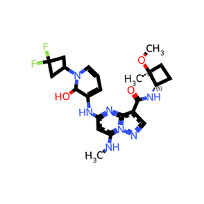 CNc1cc(NC2=CC=CN(C3CC(F)(F)C3)C2O)nc2c(C(=O)N[C@H]3CC[C@]3(C)OC)cnn12